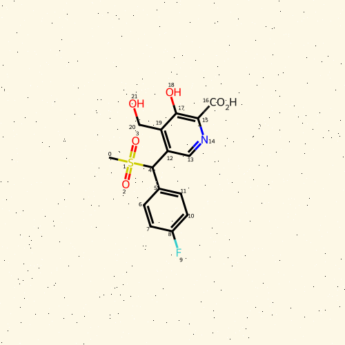 CS(=O)(=O)C(c1ccc(F)cc1)c1cnc(C(=O)O)c(O)c1CO